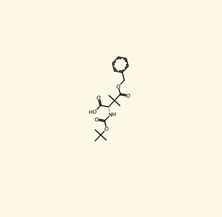 CC(C)(C)OC(=O)N[C@H](C(=O)O)C(C)(C)C(=O)OCc1ccccc1